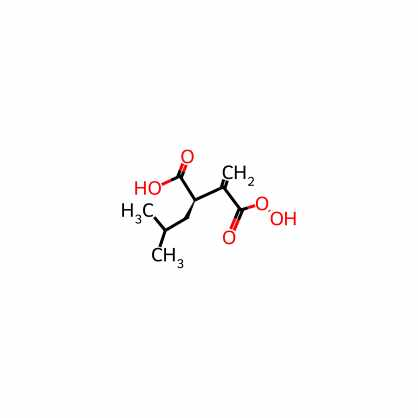 C=C(C(=O)OO)[C@@H](CC(C)C)C(=O)O